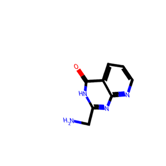 NCc1nc2ncccc2c(=O)[nH]1